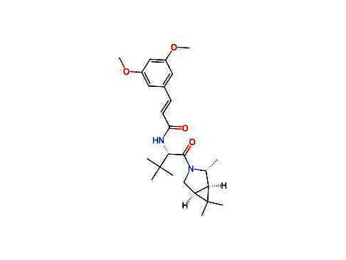 COc1cc(/C=C/C(=O)N[C@H](C(=O)N2C[C@H]3[C@@H]([C@H]2C)C3(C)C)C(C)(C)C)cc(OC)c1